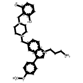 COc1ccc(-c2cn(CCCN)c3ccc(CN4CCN(Cc5c(Cl)cccc5Cl)CC4)cc23)cc1